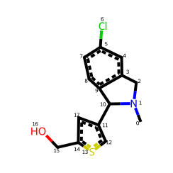 CN1Cc2cc(Cl)ccc2C1c1csc(CO)c1